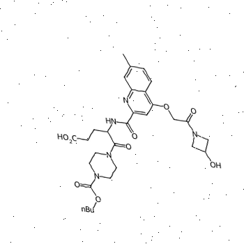 CCCCOC(=O)N1CCN(C(=O)C(CCC(=O)O)NC(=O)c2cc(OCC(=O)N3CC(O)C3)c3ccc(C)cc3n2)CC1